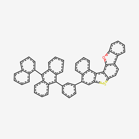 c1cc(-c2c3ccccc3c(-c3cccc4ccccc34)c3ccccc23)cc(-c2cc3sc4ccc5c6ccccc6oc5c4c3c3ccccc23)c1